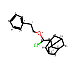 ClC(OCCc1ccccc1)C12CC3CC(CC(C3)C1)C2